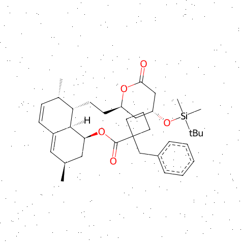 C[C@H]1C=C2C=C[C@H](C)[C@H](CC[C@@H]3C[C@@H](O[Si](C)(C)C(C)(C)C)CC(=O)O3)[C@H]2[C@@H](OC(=O)C2(Cc3ccccc3)CCC2)C1